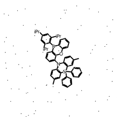 Cc1ccc2c(c1)[Si](c1ccccc1)(c1ccccc1)c1cc(C)ccc1N2c1cccc2c1Oc1ccccc1B2c1c(C(C)C)cc(C(C)C)cc1C(C)C